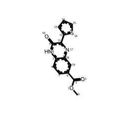 COC(=O)c1ccc2[nH]c(=O)c(-c3cccs3)nc2c1